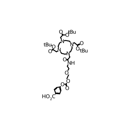 CC(C)(C)OC(=O)CN1CCN(CC(=O)NCCOCCOC(=O)Oc2ccc(C(=O)O)cc2)CCN(CC(=O)OC(C)(C)C)CCN(CC(=O)OC(C)(C)C)CC1